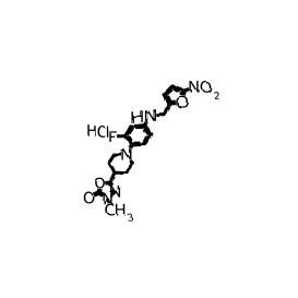 Cl.Cn1nc(C2CCN(c3ccc(NCc4ccc([N+](=O)[O-])o4)cc3F)CC2)oc1=O